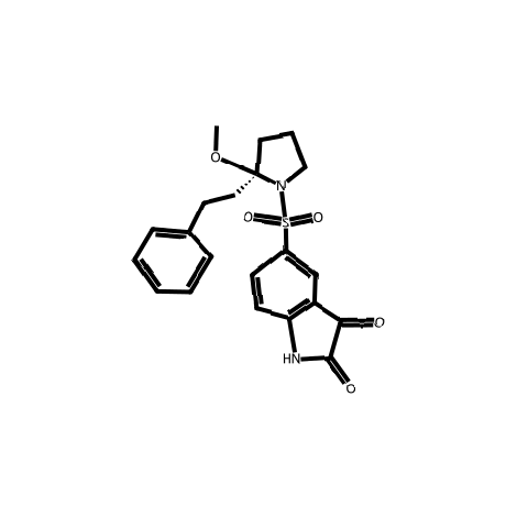 CO[C@@]1(CCc2ccccc2)CCCN1S(=O)(=O)c1ccc2c(c1)C(=O)C(=O)N2